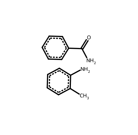 Cc1ccccc1N.NC(=O)c1ccccc1